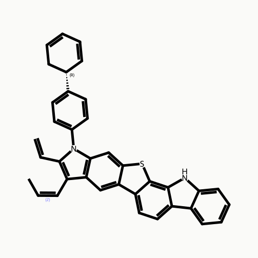 C=Cc1c(/C=C\C)c2cc3c(cc2n1-c1ccc([C@H]2C=CC=CC2)cc1)sc1c3ccc2c3ccccc3[nH]c21